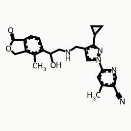 Cc1cc(-n2cc(CNCC(O)c3ccc4c(c3C)COC4=O)c(C3CC3)n2)ncc1C#N